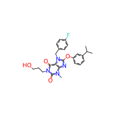 CC(C)c1cccc(Oc2nc3c(c(=O)n(CCCO)c(=O)n3C)n2Cc2ccc(F)cc2)c1